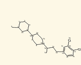 CC1CCCC(N2CCN(C(C)CCc3ccc(Cl)c(Cl)c3)CC2)C1